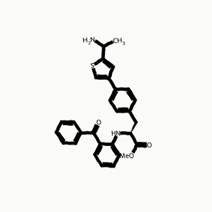 COC(=O)[C@H](Cc1ccc(-c2csc(C(C)N)c2)cc1)Nc1ccccc1C(=O)c1ccccc1